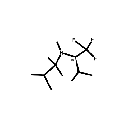 CC(C)[C@@H](N(C)C(C)(C)C(C)C)C(F)(F)F